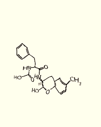 Cc1ccc2c(c1)C[C@H](NC(=O)C(Cc1ccccc1)NC(=O)O)C(O)O2